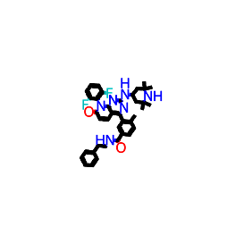 Cc1ccc(C(=O)NCCc2ccccc2)cc1-c1nc(NC2CC(C)(C)NC(C)(C)C2)nc2c1ccc(=O)n2-c1c(F)cccc1F